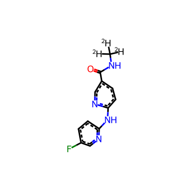 [2H]C([2H])([2H])NC(=O)c1ccc(Nc2ccc(F)cn2)nc1